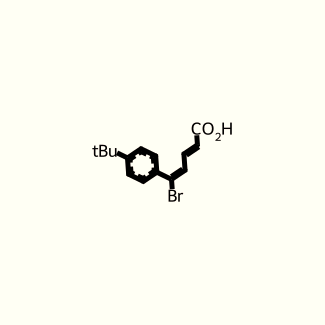 CC(C)(C)c1ccc(/C(Br)=C\C=C\C(=O)O)cc1